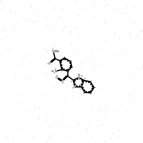 COC(=O)c1cccc(C(=S=O)c2nc3ccccc3[nH]2)c1N